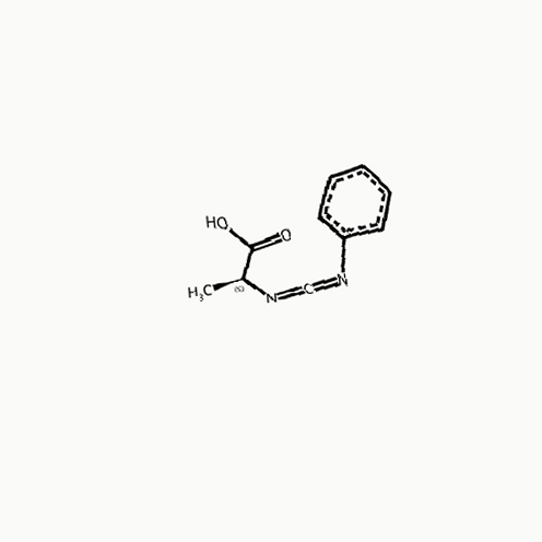 C[C@H](N=C=Nc1ccccc1)C(=O)O